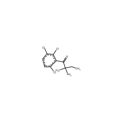 CCC(C)(P)C(=O)c1c(Cl)ccc(Cl)c1Cl